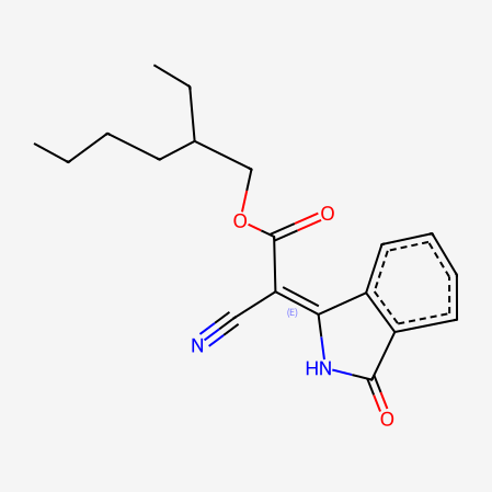 CCCCC(CC)COC(=O)/C(C#N)=C1/NC(=O)c2ccccc21